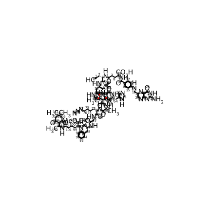 C#CC[C@H](NC(=O)CC[C@H](NC(=O)c1ccc(NCc2cnc3nc(N)[nH]c(=O)c3n2)cc1)C(=O)O)C(=O)N[C@H](Cc1cnc[nH]1)C(=O)N[C@H](CO)C(=O)N[C@H](Cc1cnc[nH]1)C(=O)N[C@@H](C(=O)N[C@H](C)C(=O)N[C@@H](CCCCN=[N+]=[N-])C(=O)NCC(=O)N[C@@H](Cc1ccccc1)C(=O)N[C@@H](CCCCNC(C)=C1C(=O)CC(C)(C)CC1=O)C(=O)OC)[C@H](C)O